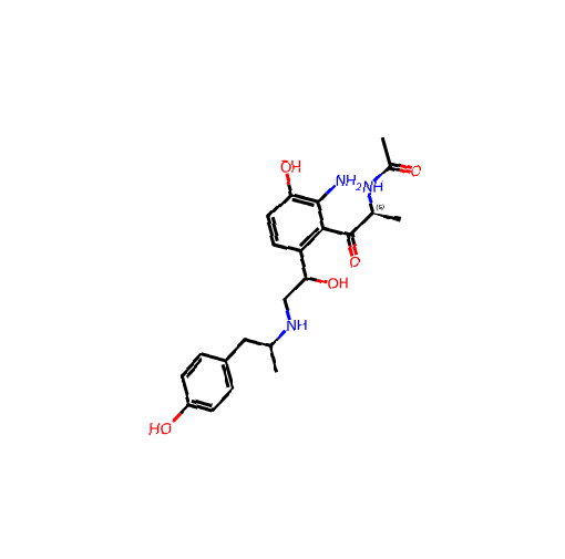 CC(=O)N[C@@H](C)C(=O)c1c(C(O)CNC(C)Cc2ccc(O)cc2)ccc(O)c1N